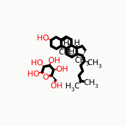 CC(C)CCC[C@@H](C)[C@H]1CC[C@H]2[C@@H]3CC=C4C[C@@H](O)CC[C@]4(C)[C@H]3CC[C@]12C.OC[C@H]1O[C@@H](O)[C@H](O)[C@@H](O)[C@H]1O